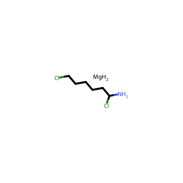 NC(Cl)CCCCCCl.[MgH2]